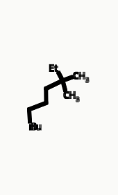 CCC(C)CCCC(C)(C)CC